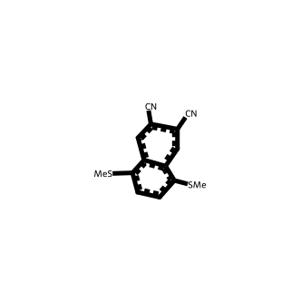 CSc1ccc(SC)c2cc(C#N)c(C#N)cc12